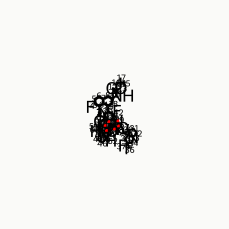 C#Cc1c(F)ccc2cc(NC(=O)OC(C)(C)C)cc(-c3nc4c5c(nc(OCC67CCCN6CC(F)(F)C7)nc5c3F)N3C[C@H]5CC[C@@H]([C@H]3[C@H](C)O4)N5C(=O)OC(C)(C)C)c12